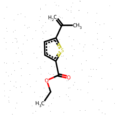 C=C(C)c1ccc(C(=O)OCC)s1